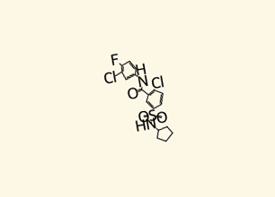 O=C(Nc1ccc(F)c(Cl)c1)c1cc(S(=O)(=O)NC2CCCC2)ccc1Cl